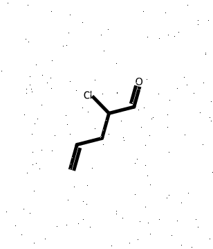 C=CCC(Cl)C=O